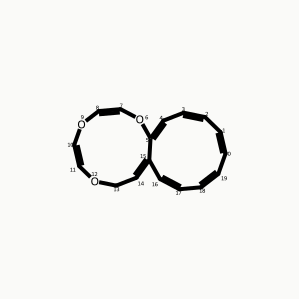 C1=CC=CC=C2OC=COC=COCC=C2C=CC=C1